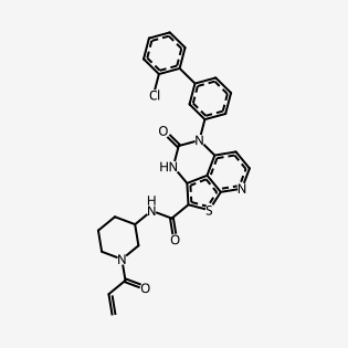 C=CC(=O)N1CCCC(NC(=O)c2sc3nccc4c3c2NC(=O)N4c2cccc(-c3ccccc3Cl)c2)C1